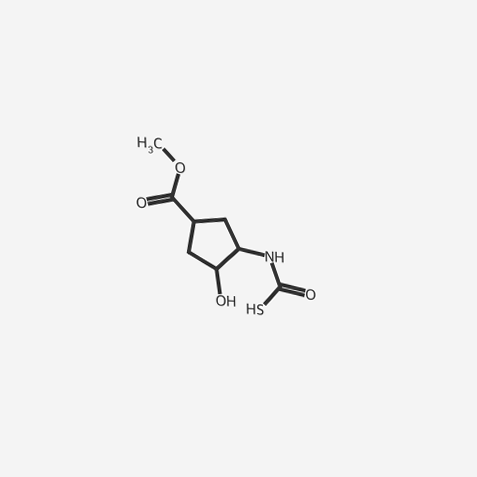 COC(=O)C1CC(O)C(NC(=O)S)C1